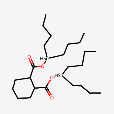 CCC[CH2][SnH]([CH2]CCC)[O]C(=O)C1CCCCC1C(=O)[O][SnH]([CH2]CCC)[CH2]CCC